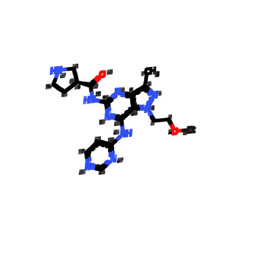 CCOCCn1nc(C)c2nc(NC(=O)[C@H]3CCNC3)nc(Nc3ccncn3)c21